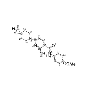 COc1ccc(NC(=O)c2cnc(N3CCC(C)(N)CC3)nc2N)cc1